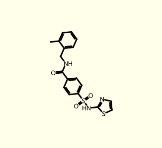 Cc1ccccc1CNC(=O)c1ccc(S(=O)(=O)Nc2nccs2)cc1